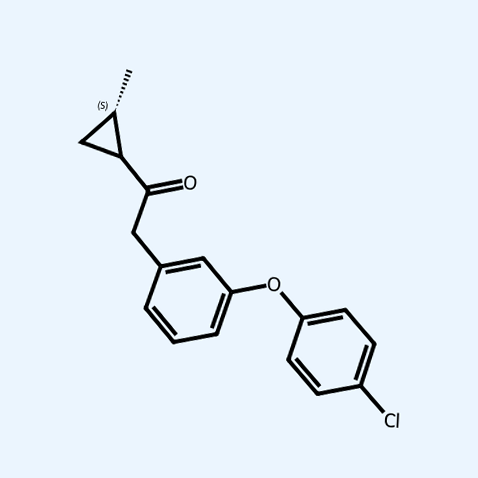 C[C@H]1CC1C(=O)Cc1cccc(Oc2ccc(Cl)cc2)c1